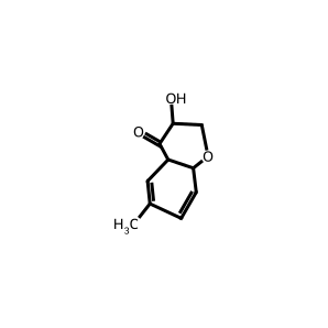 CC1=CC2C(=O)C(O)COC2C=C1